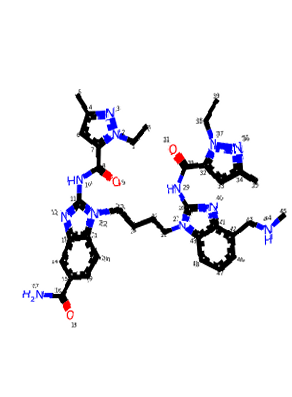 CCn1nc(C)cc1C(=O)Nc1nc2cc(C(N)=O)ccc2n1CCCCn1c(NC(=O)c2cc(C)nn2CC)nc2c(CNC)cccc21